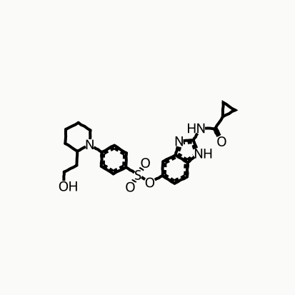 O=C(Nc1nc2cc(OS(=O)(=O)c3ccc(N4CCCCC4CCO)cc3)ccc2[nH]1)C1CC1